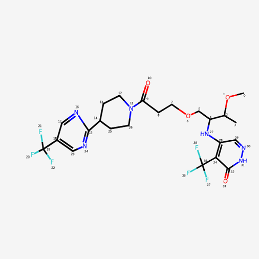 COC(C)C(COCCC(=O)N1CCC(c2ncc(C(F)(F)F)cn2)CC1)Nc1cn[nH]c(=O)c1C(F)(F)F